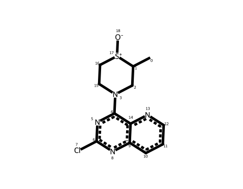 CC1CN(c2nc(Cl)nc3cccnc23)CC[S+]1[O-]